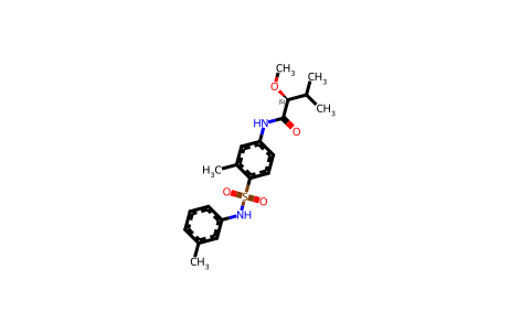 CO[C@H](C(=O)Nc1ccc(S(=O)(=O)Nc2cccc(C)c2)c(C)c1)C(C)C